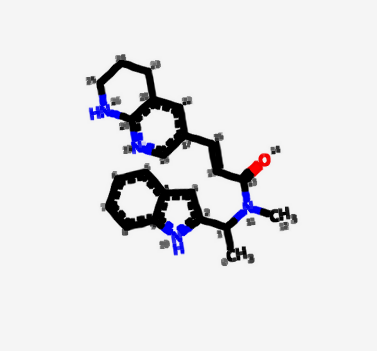 CC(c1cc2ccccc2[nH]1)N(C)C(=O)C=Cc1cnc2c(c1)CCCN2